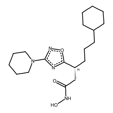 O=C(C[C@@H](CCCC1CCCCC1)c1nc(N2CCCCC2)no1)NO